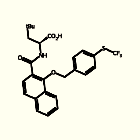 CC(C)(C)C[C@H](NC(=O)c1ccc2ccccc2c1OCc1ccc(SC(F)(F)F)cc1)C(=O)O